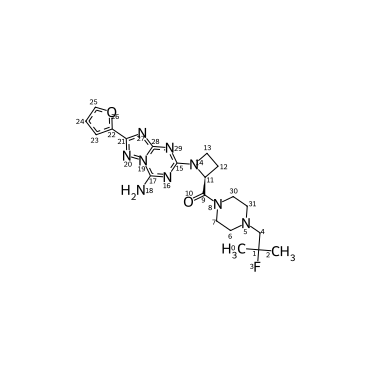 CC(C)(F)CN1CCN(C(=O)[C@@H]2CCN2c2nc(N)n3nc(-c4ccco4)nc3n2)CC1